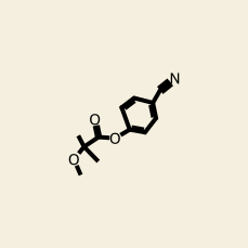 COC(C)(C)C(=O)Oc1ccc(C#N)cc1